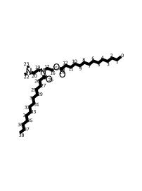 CCCCCCCCCCCCCC(=O)OCCN(CCN(C)C)C(=O)CCCCCCCCCCCCC